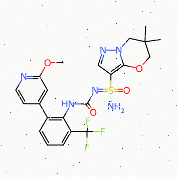 COc1cc(-c2cccc(C(F)(F)F)c2NC(=O)N=[S@](N)(=O)c2cnn3c2OCC(C)(C)C3)ccn1